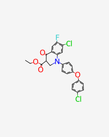 CCOC(=O)C1CN(c2ccc(Oc3ccc(Cl)cc3)cc2)c2cc(Cl)c(F)cc2C1=O